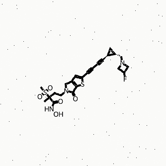 CC(CCN1Cc2cc(C#CC#C[C@H]3C[C@@H]3CN3CC(F)C3)sc2C1=O)(C(=O)NO)S(C)(=O)=O